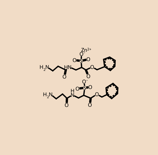 NCCC(=O)NCC(C(=O)OCc1ccccc1)S(=O)(=O)[O-].NCCC(=O)NCC(C(=O)OCc1ccccc1)S(=O)(=O)[O-].[Zn+2]